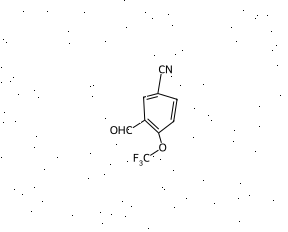 N#Cc1ccc(OC(F)(F)F)c(C=O)c1